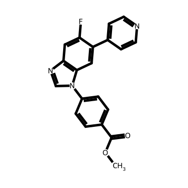 COC(=O)c1ccc(-n2cnc3cc(F)c(-c4ccncc4)cc32)cc1